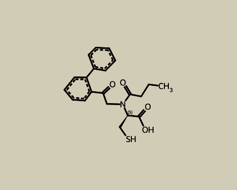 CCCC(=O)N(CC(=O)c1ccccc1-c1ccccc1)[C@H](CS)C(=O)O